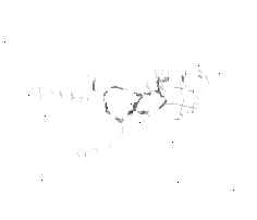 CCCCSc1cc(C(=O)OC(C)(C)C)cc2c(Br)c(C(F)(F)P(=O)(O)OCC)sc12